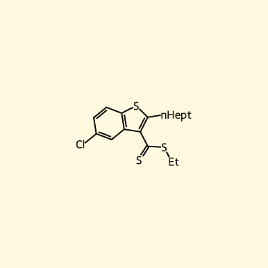 CCCCCCCc1sc2ccc(Cl)cc2c1C(=S)SCC